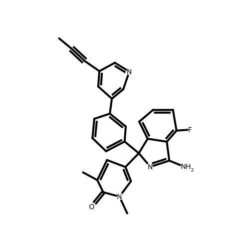 CC#Cc1cncc(-c2cccc(C3(c4cc(C)c(=O)n(C)c4)N=C(N)c4c(F)cccc43)c2)c1